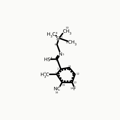 Cc1c(C(S)=NC[Si](C)(C)C)ccc(F)c1C#N